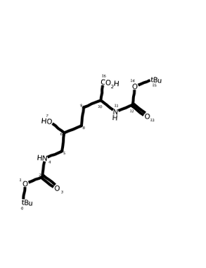 CC(C)(C)OC(=O)NCC(O)CCC(NC(=O)OC(C)(C)C)C(=O)O